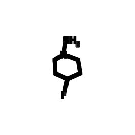 FC1CCN([SiH3])CC1